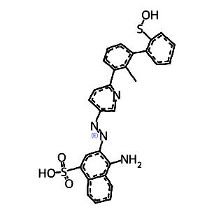 Cc1c(-c2ccc(/N=N/c3cc(S(=O)(=O)O)c4ccccc4c3N)cn2)cccc1-c1ccccc1SO